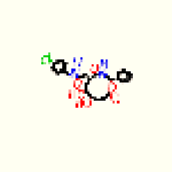 O=C(C[C@@H]1C[C@@H](O)[C@H](O)CCC(=O)O[C@H](c2ccccc2)CNC1=O)NCc1ccc(Cl)cc1